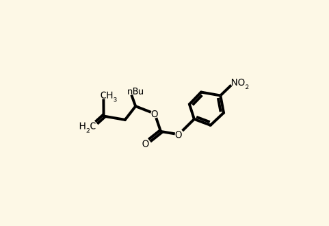 C=C(C)CC(CCCC)OC(=O)Oc1ccc([N+](=O)[O-])cc1